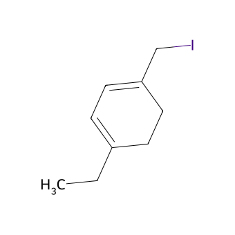 CCC1=CC=C(CI)CC1